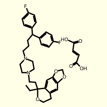 CCC1(CCN2CCN(CCCC(c3ccc(F)cc3)c3ccc(F)cc3)CC2)OCCc2cc3c(cc21)OCO3.O=C(O)C=CC(=O)O